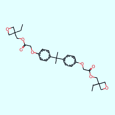 CCC1(COC(=O)COc2ccc(C(C)(C)c3ccc(OCC(=O)OCC4(CC)COC4)cc3)cc2)COC1